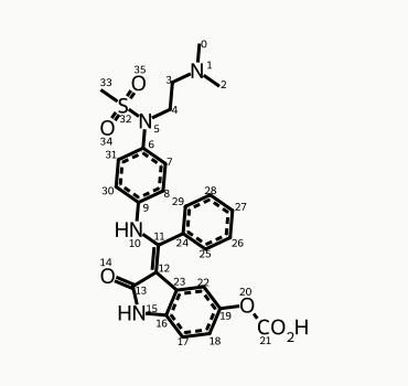 CN(C)CCN(c1ccc(N/C(=C2\C(=O)Nc3ccc(OC(=O)O)cc32)c2ccccc2)cc1)S(C)(=O)=O